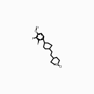 CCOc1ccc(C2CCC(CCC3CC[SiH](Cl)CC3)CC2)c(F)c1F